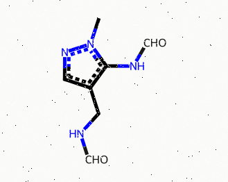 Cn1ncc(CNC=O)c1NC=O